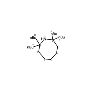 CCCCC1(CCCC)CCCCCC(CCCC)(CCCC)N1